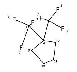 FC(F)(F)C1(C(F)(F)F)CCCC1